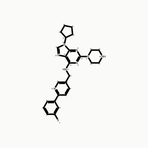 Fc1cccc(-c2ccc(CNc3nc(N4CCNCC4)nc4c3ncn4C3CCCC3)cn2)c1